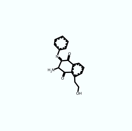 NC1C(=O)c2c(CCO)cccc2C(=O)C1=Nc1ccccc1